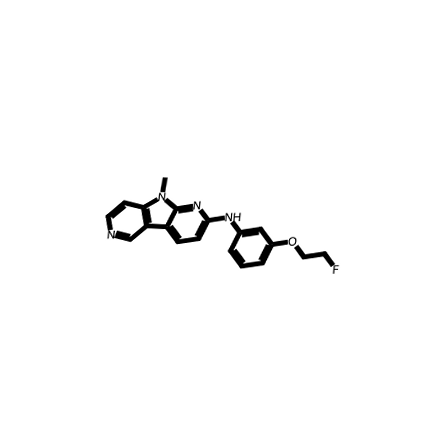 Cn1c2ccncc2c2ccc(Nc3cccc(OCCF)c3)nc21